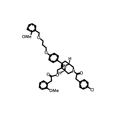 COc1ccccc1COCCCOc1ccc(C2=C(COC(=O)Cc3ccccc3OC)[C@H]3CN(C(=O)Cc4ccc(Cl)cc4)C[C@@H](C2)N3)cc1